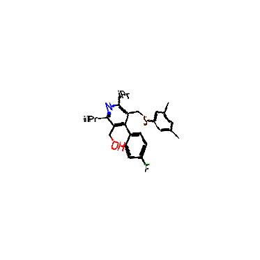 Cc1cc(C)cc(SCc2c(C(C)C)nc(C(C)C)c(CO)c2-c2ccc(F)cc2)c1